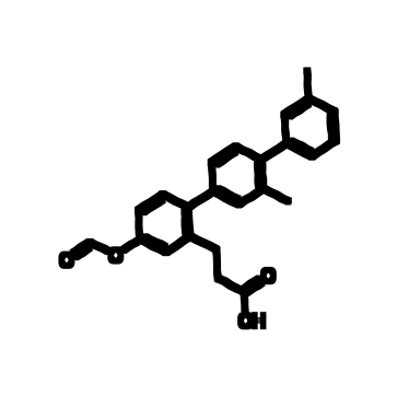 Cc1cccc(-c2ccc(-c3ccc(OC=O)cc3CCC(=O)O)cc2C)c1